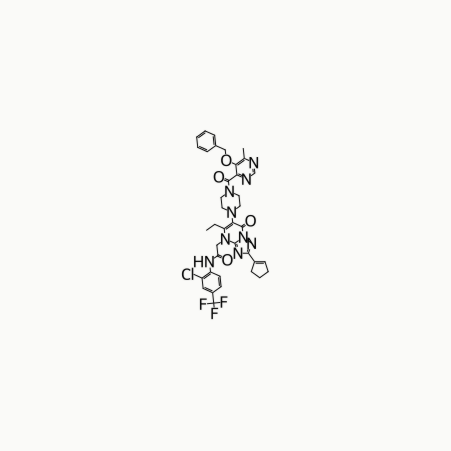 CCc1c(N2CCN(C(=O)c3ncnc(C)c3OCc3ccccc3)CC2)c(=O)n2nc(C3=CCCC3)nc2n1CC(=O)Nc1ccc(C(F)(F)F)cc1Cl